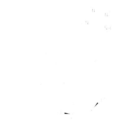 C(=C/C[C@H]1[C@@H](COC2CCCCCC2)[C@H]2CC[C@@H]1O2)/CCCc1nnn[nH]1